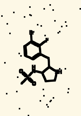 CS(=O)(=O)NC1CCNC1Cc1cccc(Br)c1F